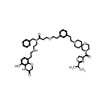 CC(C)C1=NC(C(=O)N2CCOC3(CCN(CCc4cccc(CCOCCC(=O)N(CCNCCc5ccc(O)c6c5OCC(=O)N6)Cc5ccccc5)c4)CC3)C2)CS1